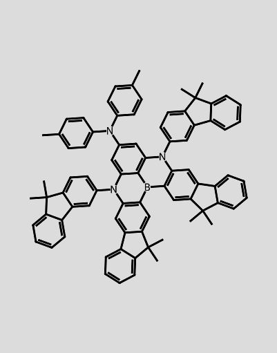 Cc1ccc(N(c2ccc(C)cc2)c2cc3c4c(c2)N(c2ccc5c(c2)-c2ccccc2C5(C)C)c2cc5c(cc2B4c2cc4c(cc2N3c2ccc3c(c2)-c2ccccc2C3(C)C)-c2ccccc2C4(C)C)C(C)(C)c2ccccc2-5)cc1